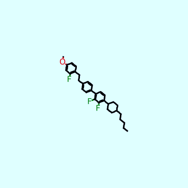 CCCCCC1CCC(c2ccc(-c3ccc(CCc4ccc(OC)cc4F)cc3)c(F)c2F)CC1